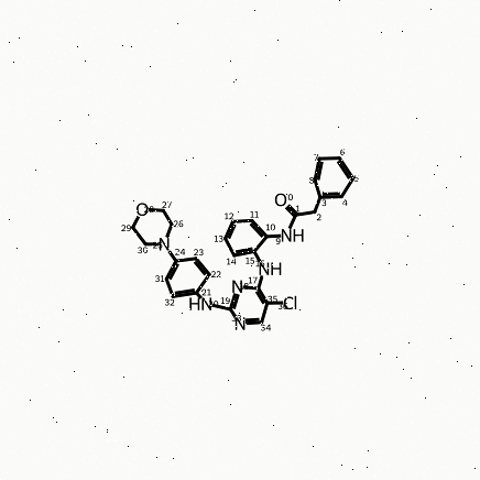 O=C(Cc1ccccc1)Nc1ccccc1Nc1nc(Nc2ccc(N3CCOCC3)cc2)ncc1Cl